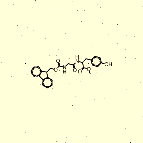 COC(=O)[C@H](Cc1ccc(O)cc1)NC(=O)CNC(=O)OCC1c2ccccc2-c2ccccc21